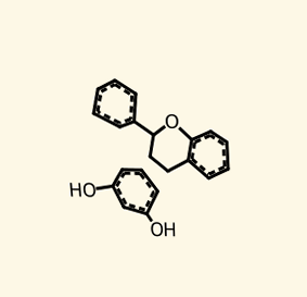 Oc1cccc(O)c1.c1ccc(C2CCc3ccccc3O2)cc1